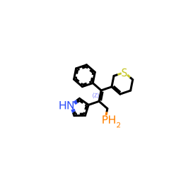 PC/C(=C(\C1=CCCSC1)c1ccccc1)c1cc[nH]c1